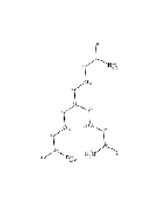 CC(N)COCC(COCC(C)N)COCC(C)N